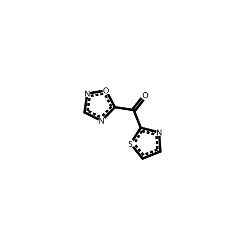 O=C(c1ncno1)c1nccs1